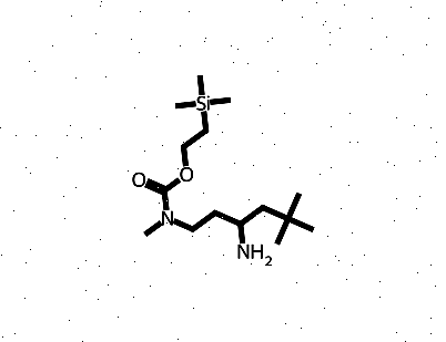 CN(CCC(N)CC(C)(C)C)C(=O)OCC[Si](C)(C)C